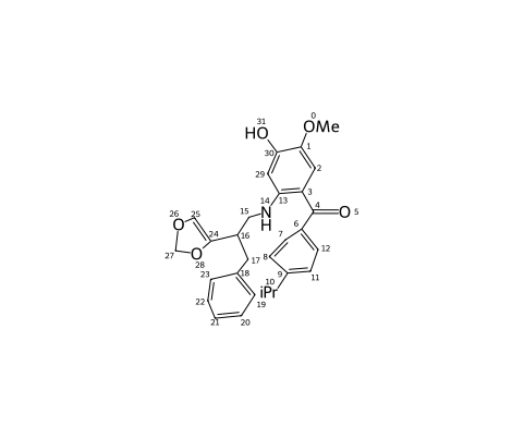 COc1cc(C(=O)c2ccc(C(C)C)cc2)c(NCC(Cc2ccccc2)C2=COCO2)cc1O